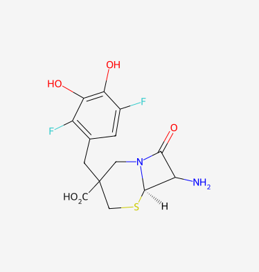 NC1C(=O)N2CC(Cc3cc(F)c(O)c(O)c3F)(C(=O)O)CS[C@H]12